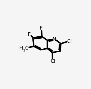 Cc1cc2c(Cl)cc(Cl)nc2c(F)c1F